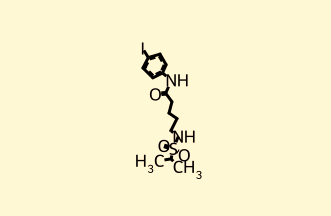 CC(C)S(=O)(=O)NCCCCC(=O)Nc1ccc(I)cc1